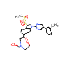 Cc1cccc(-c2cnc(-n3cc(S(C)(=O)=O)c4ccc(C5CN(C=O)CCO5)cc43)nc2)c1